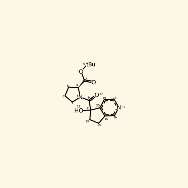 CC(C)(C)OC(=O)[C@@H]1CCCN1C(=O)C1(O)CCc2cnccc21